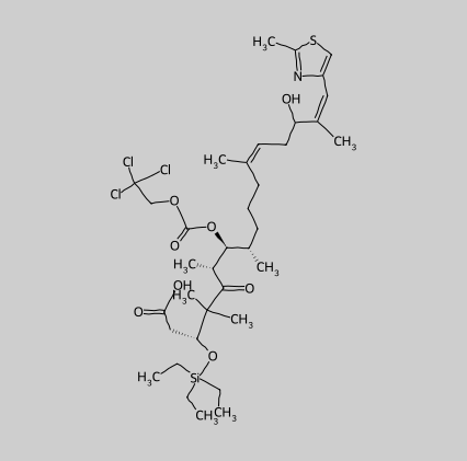 CC[Si](CC)(CC)O[C@H](CC(=O)O)C(C)(C)C(=O)[C@H](C)[C@@H](OC(=O)OCC(Cl)(Cl)Cl)[C@@H](C)CCCC(C)=CCC(O)C(C)=Cc1csc(C)n1